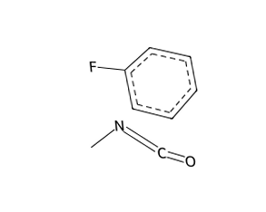 CN=C=O.Fc1ccccc1